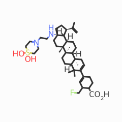 C=C(C)[C@@H]1CC[C@]2(NCCN3CCS(O)(O)CC3)CC[C@]3(C)[C@H](CC[C@@H]4[C@@]5(C)CC=C(C6=CC(CF)C(C(=O)O)CC6)C(C)(C)[C@@H]5CC[C@]43C)[C@@H]12